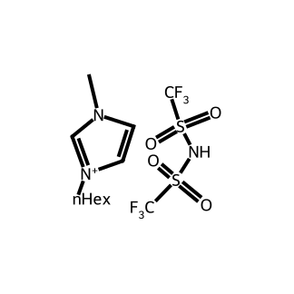 CCCCCC[n+]1ccn(C)c1.O=S(=O)(NS(=O)(=O)C(F)(F)F)C(F)(F)F